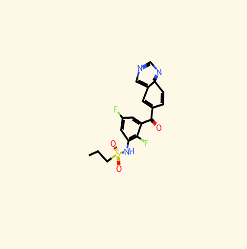 CCCS(=O)(=O)Nc1cc(F)cc(C(=O)c2ccc3ncncc3c2)c1F